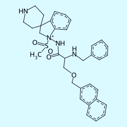 CS(=O)(=O)[N+]1(NC(=O)C(COCc2ccc3ccccc3c2)NCc2ccccc2)CC2(CCNCC2)c2ccccc21